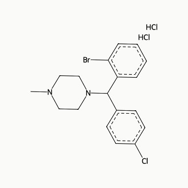 CN1CCN(C(c2ccc(Cl)cc2)c2ccccc2Br)CC1.Cl.Cl